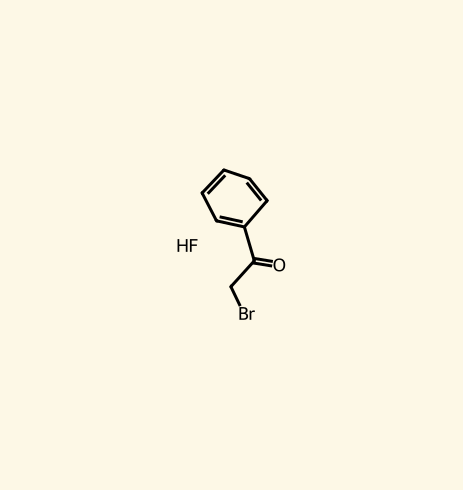 F.O=C(CBr)c1ccccc1